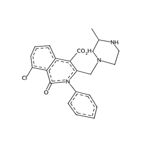 CC1CN(Cc2c(C(=O)O)c3cccc(Cl)c3c(=O)n2-c2ccccc2)CCN1